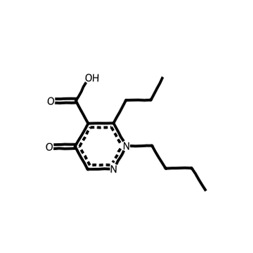 CCCCn1ncc(=O)c(C(=O)O)c1CCC